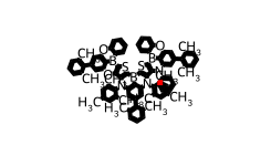 Cc1cc(C)c(N2c3cc(-c4c(C)cccc4C)cc4c3B(c3sc5c(c32)Oc2cc(-c3c(C)cccc3C)cc3c2B5c2ccccc2O3)c2sc3c(c2N4c2c(C)cc(C)cc2C)N(c2ccccc2)c2cc(-c4c(C)cccc4C)cc4c2B3c2ccccc2O4)c(C)c1